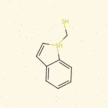 SC[SH]1C=Cc2ccccc21